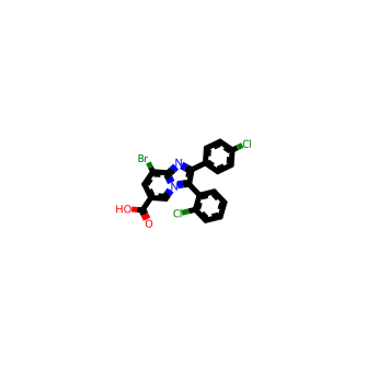 O=C(O)c1cc(Br)c2nc(-c3ccc(Cl)cc3)c(-c3ccccc3Cl)n2c1